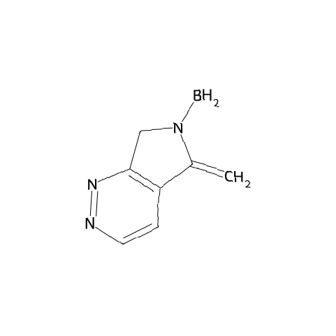 BN1Cc2nnccc2C1=C